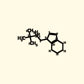 CC(C)(C)[SiH2]C[C]1C=CC2=C1CCCC2